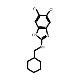 Clc1cc2nc(NCC3CCCCC3)[nH]c2cc1Cl